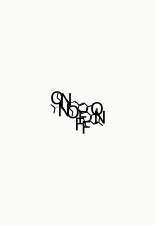 COC1=N[C@H](C(C)C)C(OC)=N[C@H]1Cc1ccc(-c2c(C(F)(F)F)cc(C)n(C)c2=O)c(C)c1